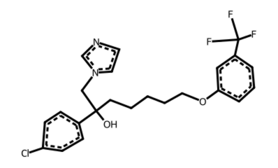 OC(CCCCCOc1cccc(C(F)(F)F)c1)(Cn1ccnc1)c1ccc(Cl)cc1